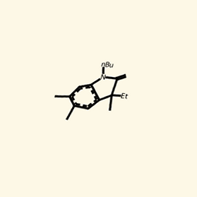 C=C1N(CCCC)c2cc(C)c(C)cc2C1(C)CC